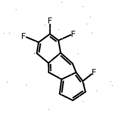 Fc1[c]c2cc3cccc(F)c3cc2c(F)c1F